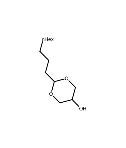 CCCCCCCCCC1OCC(O)CO1